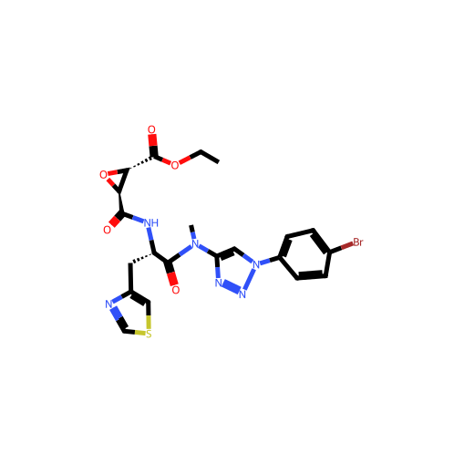 CCOC(=O)[C@H]1O[C@@H]1C(=O)N[C@@H](Cc1cscn1)C(=O)N(C)c1cn(-c2ccc(Br)cc2)nn1